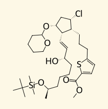 COC(=O)c1ccc(CCC[C@@H]2[C@H](C=C[C@@H](O)CCCC[C@@H](C)O[Si](C)(C)C(C)(C)C)[C@H](OC3CCCCO3)C[C@@H]2Cl)s1